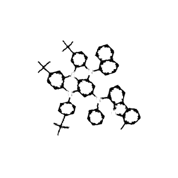 Cc1cccc2c1oc1c(N(c3ccccc3)c3cc4c5c(c3)N(c3cccc6ccccc36)c3ccc(C(C)(C)C)cc3B5c3cc(C(C)(C)C)ccc3N4c3ccc(C(C)(C)C)cc3)cccc12